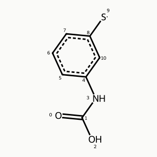 O=C(O)Nc1cccc([S])c1